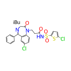 CC[C@H](C)[C@@H]1N=C(c2ccccc2)c2cc(Cl)ccc2N(CCC(=O)NS(=O)(=O)c2ccc(Cl)s2)C1=O